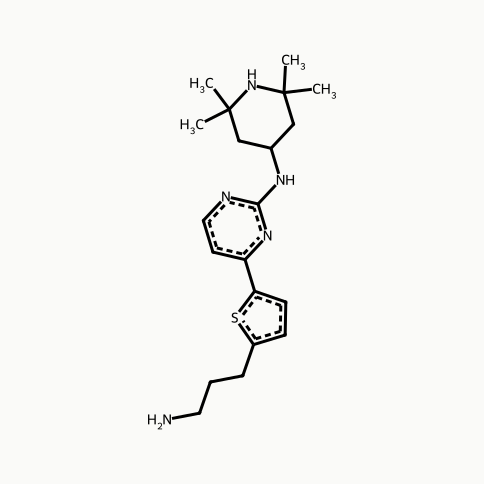 CC1(C)CC(Nc2nccc(-c3ccc(CCCN)s3)n2)CC(C)(C)N1